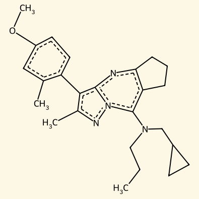 CCCN(CC1CC1)c1c2c(nc3c(-c4ccc(OC)cc4C)c(C)nn13)CCC2